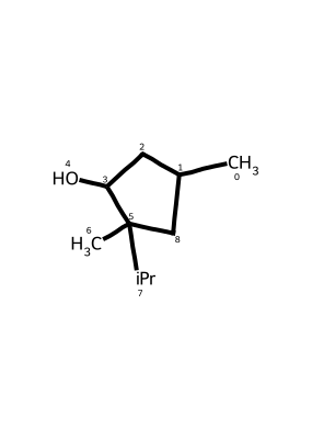 CC1CC(O)C(C)(C(C)C)C1